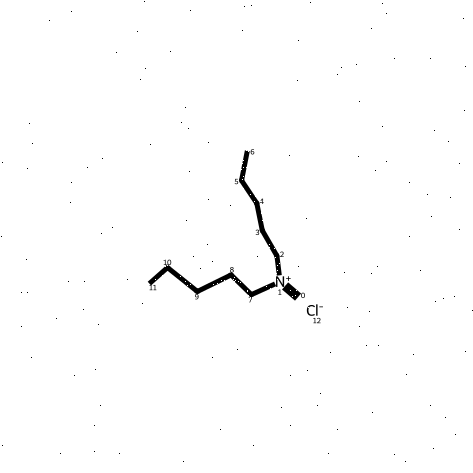 C=[N+](CCCCC)CCCCC.[Cl-]